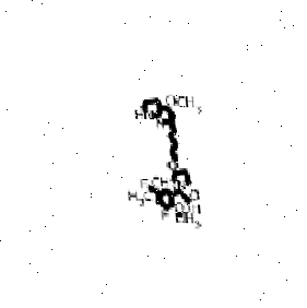 COc1cc(CCCCCO[C@@H]2CCN(C(C(=O)O)c3cc(C(C)(C)F)cc(F)c3OC)C2)nc2c1CCCN2